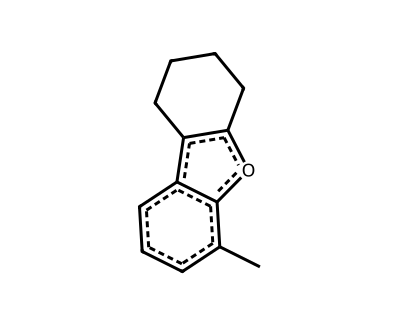 Cc1cccc2c3c(oc12)CCCC3